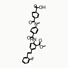 COC(=O)c1cc(C=Cc2ccccc2F)ccc1NC(=O)c1ccc(N(C)C(=O)c2ccc(C(=O)O)cc2)cc1